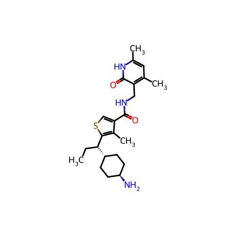 CCC(c1scc(C(=O)NCc2c(C)cc(C)[nH]c2=O)c1C)[C@H]1CC[C@H](N)CC1